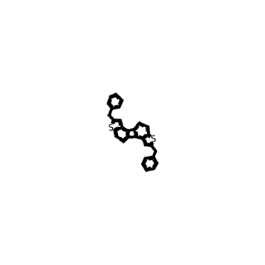 c1ccc(Cc2cc3c4c(ccc3s2)-c2c-4ccc3sc(Cc4ccccc4)cc23)cc1